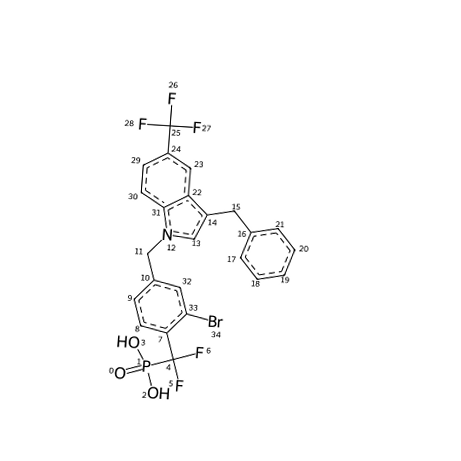 O=P(O)(O)C(F)(F)c1ccc(Cn2cc(Cc3ccccc3)c3cc(C(F)(F)F)ccc32)cc1Br